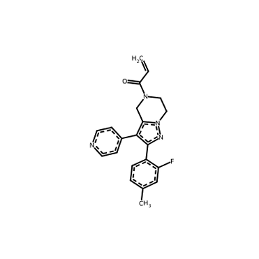 C=CC(=O)N1CCn2nc(-c3ccc(C)cc3F)c(-c3ccncc3)c2C1